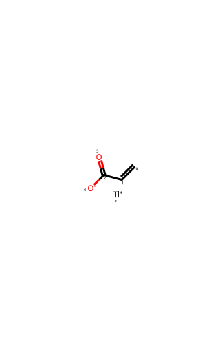 C=CC(=O)[O-].[Tl+]